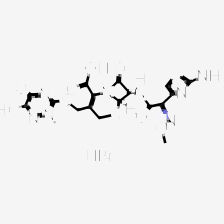 Br.CO/N=C(\C(=O)N[C@@H]1C(=O)N2C(C(=O)O)=C(CSc3nc(=O)c(O)nn3C)CS[C@H]12)c1csc(N)n1